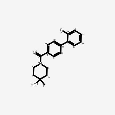 CC1(O)CCN(C(=O)c2ccc(-c3ccccc3F)cc2)CC1